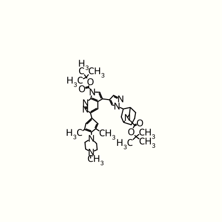 Cc1cc(-c2cc3c(-c4cnn(C5CC6CCCC5CN6C(=O)OC(C)(C)C)c4)cn(C(=O)OC(C)(C)C)c3nn2)cc(C)c1N1CCN(C)CC1